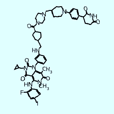 Cc1c(=O)n(C)c(Nc2ccc(I)cc2F)c2c(=O)n(C3CC3)c(=O)n(-c3cccc(NCC4CCC(C(=O)N5CCN(CC6CCN(c7ccc(C8CCC(=O)NC8=O)cc7)CC6)CC5)CC4)c3)c12